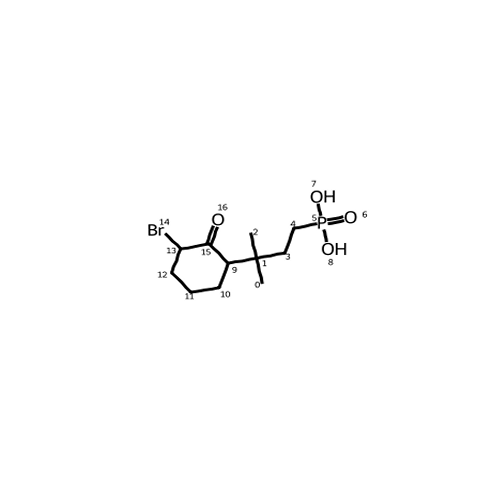 CC(C)(CCP(=O)(O)O)C1CCCC(Br)C1=O